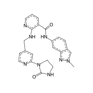 Cn1cc2ccc(NC(=O)c3cccnc3NCc3ccnc(N4CCNC4=O)c3)cc2n1